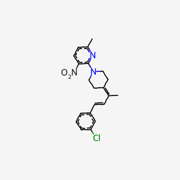 CC(C=Cc1cccc(Cl)c1)=C1CCN(c2nc(C)ccc2[N+](=O)[O-])CC1